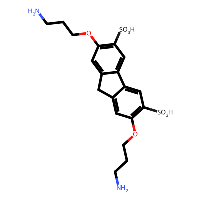 NCCCOc1cc2c(cc1S(=O)(=O)O)-c1cc(S(=O)(=O)O)c(OCCCN)cc1C2